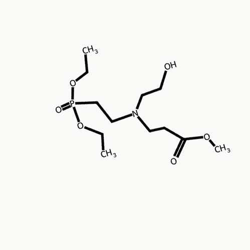 CCOP(=O)(CCN(CCO)CCC(=O)OC)OCC